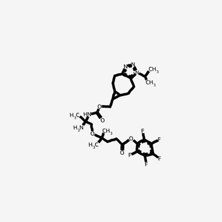 CC(C)n1nnc2c1CCC1C(CC2)C1COC(=O)NC(C)(N)COC(C)(C)CCC(=O)Oc1c(F)c(F)c(F)c(F)c1F